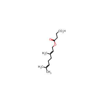 CC(C)=CCC/C(C)=C/COC(=O)CCC(=O)O